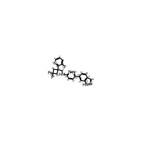 Fc1cccnc1C1(CNc2ccc(-c3ccc4cn[nH]c4c3)nn2)CC(F)(F)C1